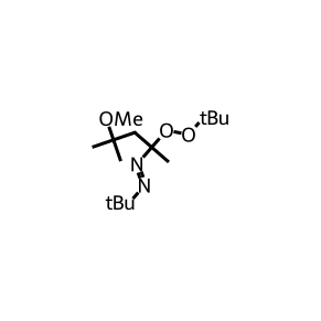 COC(C)(C)CC(C)(N=NC(C)(C)C)OOC(C)(C)C